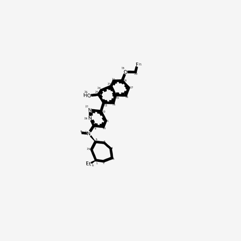 CC[C@@H]1CCCC[C@H](N(C)c2ccc(-c3cc4ccc(OCF)cc4cc3O)nn2)C1